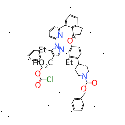 CCc1cc(O[C@H]2CCc3cccc(-c4cccc(-n5ncc(C(=O)O)c5CC)n4)c32)ccc1C1CCN(C(=O)OCc2ccccc2)CC1.O=C(Cl)OCc1ccccc1